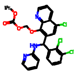 CC(C)OC(=O)OCOc1c(C(Nc2ccccn2)c2cccc(Cl)c2Cl)cc(Cl)c2cccnc12